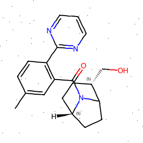 Cc1ccc(-c2ncccn2)c(C(=O)N2C3CC[C@@H]2CC[C@@H]3CO)c1